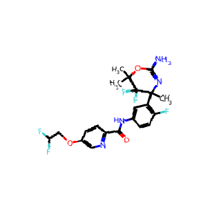 CC1(C)OC(N)=NC(C)(c2cc(NC(=O)c3ccc(OCC(F)F)cn3)ccc2F)C1(F)F